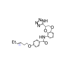 CC/C=C/CCOc1ccc(C(=O)Nc2cccc3c2OC(c2nnn[nH]2)CO3)cc1